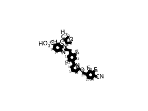 CC1(C)COC[C@H]1n1c(Cc2cc(F)c(-c3cccc(OCc4ccc(C#N)c(F)c4F)n3)cc2F)nc2ccc(C(=O)O)cc21